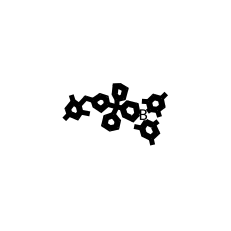 Cc1cc(C)c(Cc2ccc(C(c3ccccc3)(c3ccccc3)c3ccc(B(c4c(C)cc(C)cc4C)c4c(C)cc(C)cc4C)cc3)cc2)c(C)c1